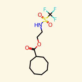 O=C(OCCNS(=O)(=O)C(F)(F)F)C1CCCCCCC1